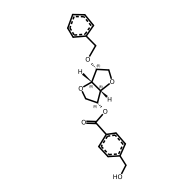 O=C(O[C@@H]1CO[C@H]2[C@@H]1OC[C@H]2OCc1ccccc1)c1ccc(CO)cc1